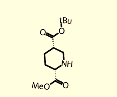 COC(=O)[C@@H]1CC[C@H](C(=O)OC(C)(C)C)CN1